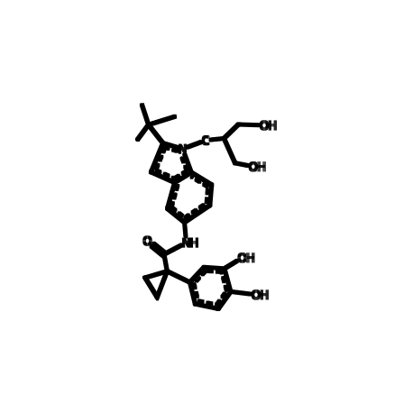 CC(C)(C)c1cc2cc(NC(=O)C3(c4ccc(O)c(O)c4)CC3)ccc2n1CC(CO)CO